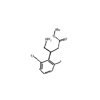 CC(C)(C)OC(=O)CC(CN)c1c(F)cccc1Cl